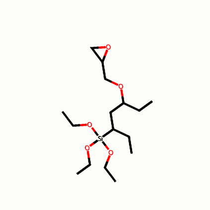 CCO[Si](OCC)(OCC)C(CC)CC(CC)OCC1CO1